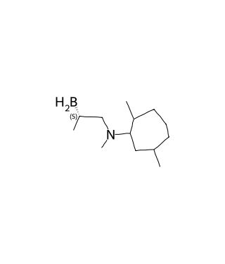 B[C@@H](C)CN(C)C1CC(C)CCCC1C